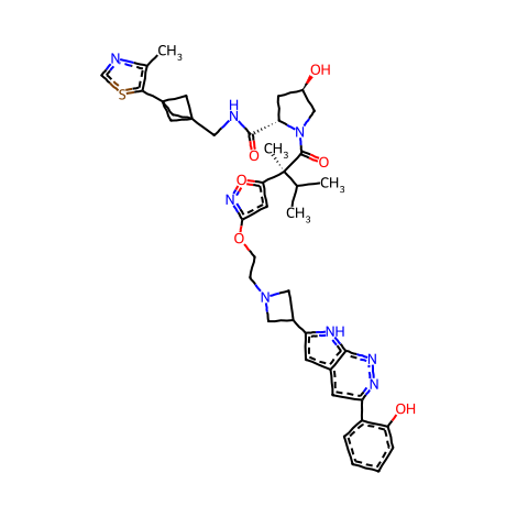 Cc1ncsc1C12CC(CNC(=O)[C@@H]3C[C@@H](O)CN3C(=O)[C@](C)(c3cc(OCCN4CC(c5cc6cc(-c7ccccc7O)nnc6[nH]5)C4)no3)C(C)C)(C1)C2